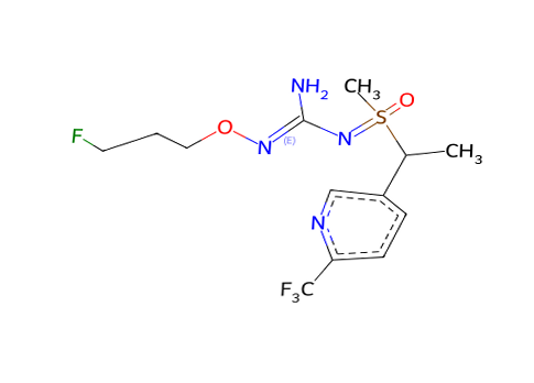 CC(c1ccc(C(F)(F)F)nc1)S(C)(=O)=N/C(N)=N/OCCCF